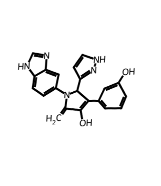 C=C1C(O)=C(c2cccc(O)c2)C(c2cc[nH]n2)N1c1ccc2[nH]cnc2c1